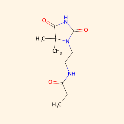 CCC(=O)NCCN1C(=O)NC(=O)C1(C)C